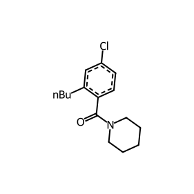 CCCCc1cc(Cl)ccc1C(=O)N1CCCCC1